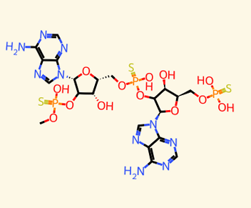 COP(O)(=S)OC1[C@@H](O)[C@@H](COP(O)(=S)OC2[C@@H](O)[C@@H](COP(O)(O)=S)O[C@H]2n2cnc3c(N)ncnc32)O[C@H]1n1cnc2c(N)ncnc21